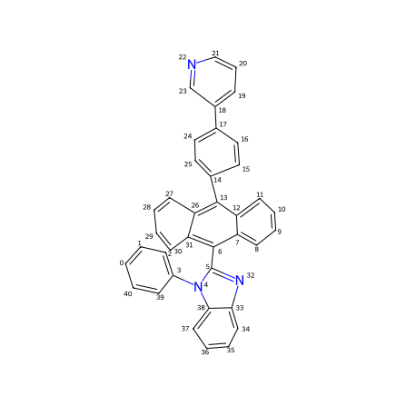 c1ccc(-n2c(-c3c4ccccc4c(-c4ccc(-c5cccnc5)cc4)c4ccccc34)nc3ccccc32)cc1